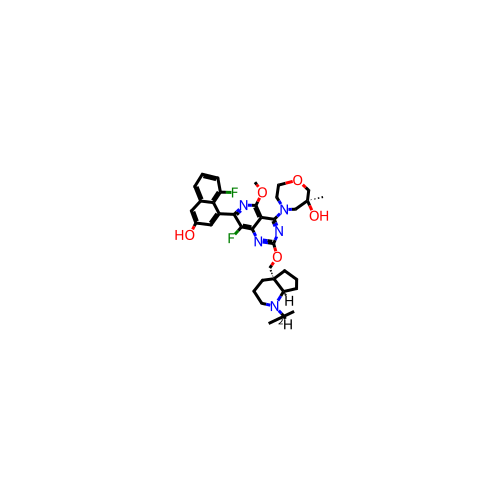 [2H]C(C)(C)N1CCC[C@@]2(COc3nc(N4CCOC[C@@](C)(O)C4)c4c(OC)nc(-c5cc(O)cc6cccc(F)c56)c(F)c4n3)CCC[C@@H]12